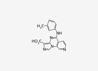 Cc1cccc(Nc2nc3c(C(=O)O)ncn3c3cnccc23)c1